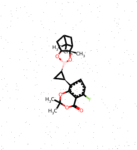 CC1(C)OC(=O)c2c(F)ccc([C@H]3C[C@H]3B3OC4CC5CC(C5(C)C)[C@]4(C)O3)c2O1